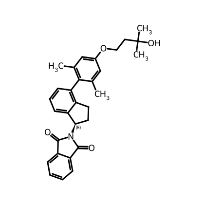 Cc1cc(OCCC(C)(C)O)cc(C)c1-c1cccc2c1CC[C@H]2N1C(=O)c2ccccc2C1=O